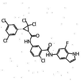 O=C(Nc1cc(F)c2[nH]ccc2c1)c1cc(NC(=O)[C@H]2[C@H](c3cc(Cl)cc(Cl)c3)C2(Cl)Cl)ccc1Cl